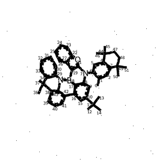 Cc1cc2c(cc1N1c3cc(C(C)(C)C)cc4c3B(c3c1oc1ccccc31)N1c3ccccc3C(C)(C)c3cccc-4c31)C(C)(C)CCC2(C)C